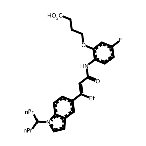 CCCC(CCC)n1ccc2cc(/C(=C/C(=O)Nc3ccc(F)cc3OCCCC(=O)O)CC)ccc21